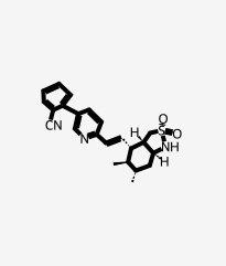 C[C@H]1[C@H](/C=C/c2ccc(-c3ccccc3C#N)cn2)[C@H]2CS(=O)(=O)N[C@H]2C[C@@H]1C